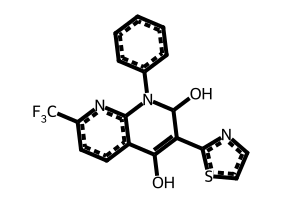 OC1=C(c2nccs2)C(O)N(c2ccccc2)c2nc(C(F)(F)F)ccc21